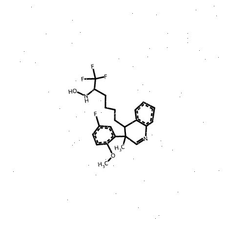 COc1ccc(F)cc1C1(C)C=Nc2ccccc2C1CCCCC(NO)C(F)(F)F